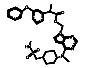 CNS(=O)(=O)C[C@H]1CC[C@H](N(C)c2ncnc3c2ccn3COC(=O)C(C)c2cccc(Oc3ccccc3)c2)CC1